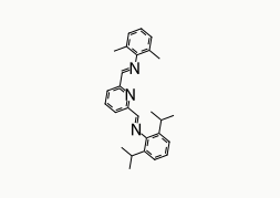 Cc1cccc(C)c1/N=C/c1cccc(/C=N/c2c(C(C)C)cccc2C(C)C)n1